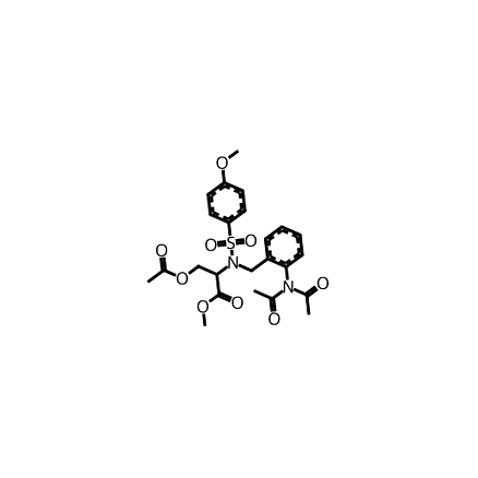 COC(=O)C(COC(C)=O)N(Cc1ccccc1N(C(C)=O)C(C)=O)S(=O)(=O)c1ccc(OC)cc1